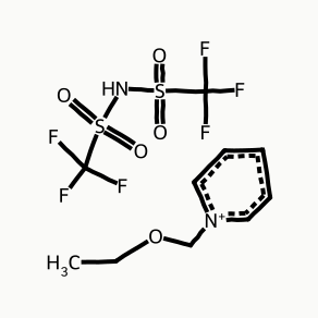 CCOC[n+]1ccccc1.O=S(=O)(NS(=O)(=O)C(F)(F)F)C(F)(F)F